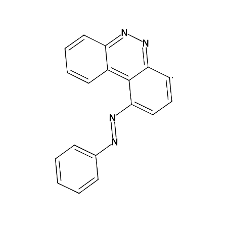 [c]1ccc(N=Nc2ccccc2)c2c1nnc1ccccc12